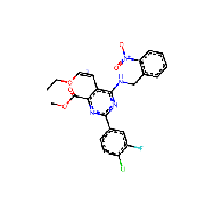 CCO/C=C\c1c(NCc2ccccc2[N+](=O)[O-])nc(-c2ccc(Cl)c(F)c2)nc1C(=O)OC